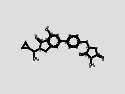 CC(C1CC1)N1Cc2cc(-c3ccc(CN4CC(=O)N(C)C4=O)cc3)cc(Cl)c2C1=O